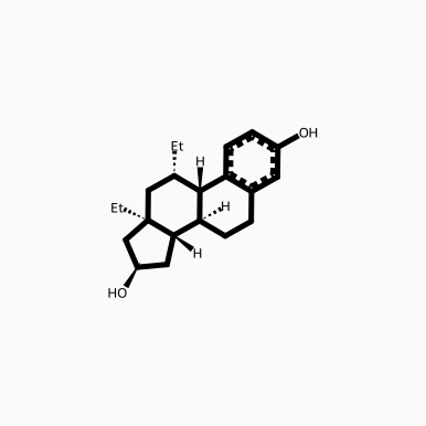 CC[C@H]1C[C@]2(CC)C[C@H](O)C[C@H]2[C@@H]2CCc3cc(O)ccc3[C@@H]12